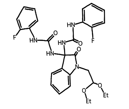 CCOC(CN1C(=O)C(NC(=O)Nc2ccccc2F)(NC(=O)Nc2ccccc2F)c2ccccc21)OCC